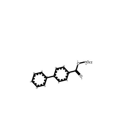 CCCCCCCCOC(=O)c1ccc(-c2ccccc2)cc1